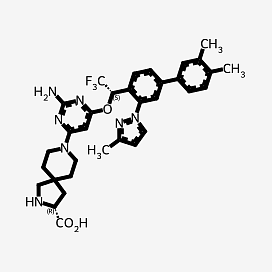 Cc1ccn(-c2cc(-c3ccc(C)c(C)c3)ccc2[C@H](Oc2cc(N3CCC4(CC3)CN[C@@H](C(=O)O)C4)nc(N)n2)C(F)(F)F)n1